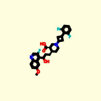 COc1ccc2ncc(F)c(C(O)CC[C@@H]3CCN(C4CC(c5c(F)cccc5F)C4)C[C@@H]3C(=O)O)c2c1